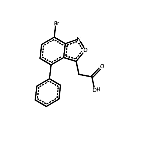 O=C(O)Cc1onc2c(Br)ccc(-c3ccccc3)c12